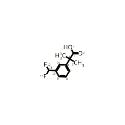 CC(C)(C(=O)O)c1cccc(C(F)F)c1